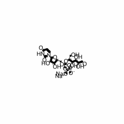 O=C[C@H](O)[C@@H](O)[C@H](O)[C@@H](CO)OP(=O)(OC[C@H]1O[C@@H](n2ccc(=O)[nH]c2=O)[C@H](O)[C@@H]1O)OP(=O)([O-])[O-].[Na+].[Na+]